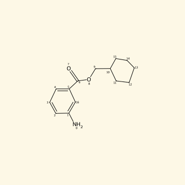 Nc1cccc(C(=O)OCC2CCCCC2)c1